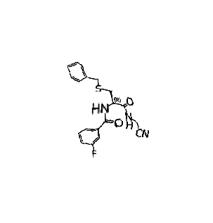 N#CCNC(=O)[C@H](CSCc1ccccc1)NC(=O)c1cccc(F)c1